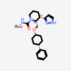 CC[C@@H](C)NC(=O)N1CCC[C@H](c2cc[nH]n2)[C@@H]1CO[C@H]1CC[C@@H](c2ccccc2)CC1